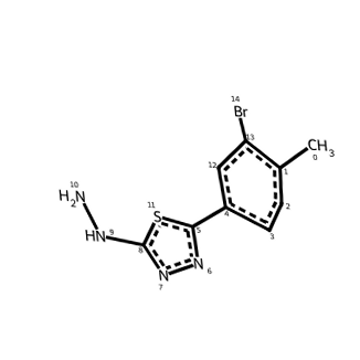 Cc1ccc(-c2nnc(NN)s2)cc1Br